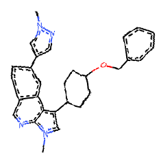 Cn1cc(-c2ccc3cnc4c(c(C5CCC(OCc6ccccc6)CC5)cn4C)c3c2)cn1